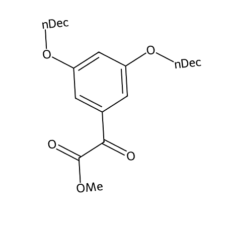 CCCCCCCCCCOc1cc(OCCCCCCCCCC)cc(C(=O)C(=O)OC)c1